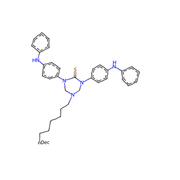 CCCCCCCCCCCCCCCCN1CN(c2ccc(Nc3ccccc3)cc2)C(=S)N(c2ccc(Nc3ccccc3)cc2)C1